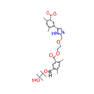 COC(=O)c1cc(-c2cnc(COCCOC(=O)c3cc(BOC(C)(C)C(C)(C)O)c(C)cc3C)[nH]2)c(C)cc1C